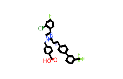 O=C(O)c1ccc(Cn2cc(-c3ccc(F)cc3Cl)nc2/C=C/c2ccc(-c3cccc(C(F)(F)F)c3)cc2)cc1